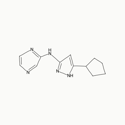 c1cnc(Nc2cc(C3CCCC3)[nH]n2)cn1